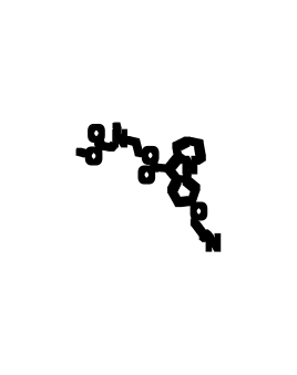 COC(=O)CN(C)CCOC(=O)c1c2ccc(OCC#N)cc2n2ccccc12